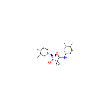 Cc1ccc(NC(=O)C2(C(=O)Nc3ccc(C)c(C)c3)CC2)cc1C